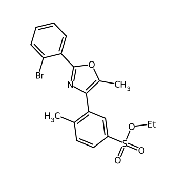 CCOS(=O)(=O)c1ccc(C)c(-c2nc(-c3ccccc3Br)oc2C)c1